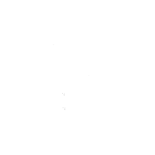 Fc1ccc(C(Cn2ccnc2)OCc2ccccc2C(F)(F)F)cc1